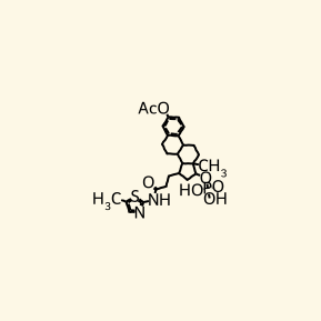 CC(=O)Oc1ccc2c(c1)CCC1C2CCC2(C)C(OP(=O)(O)O)CC(CCC(=O)Nc3ncc(C)s3)C12